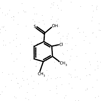 Cc1ccc(C(O)=S)c(Cl)c1C